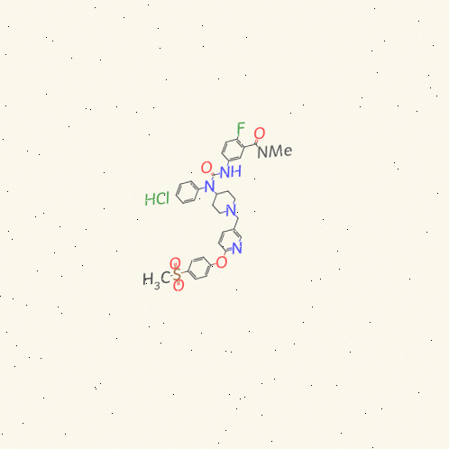 CNC(=O)c1cc(NC(=O)N(c2ccccc2)C2CCN(Cc3ccc(Oc4ccc(S(C)(=O)=O)cc4)nc3)CC2)ccc1F.Cl